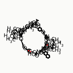 CN[C@@H](C)C(=O)N[C@H](C(=O)N1CC2CC1C(=O)N[C@@H](C)C(=O)N[C@H](C(=O)NS(=O)(=O)C1CC1)Cc1ccc(cc1)OCc1cn(nn1)C1C[C@@H](C(=O)N[C@@H](Cc3ccc4ccccc4c3)C(=O)N[C@H](C(=O)O)Cc3ccc(cc3)OC/C=C/CO2)N(C(=O)[C@@H](NC(=O)[C@H](C)NC)C(C)(C)C)C1)C(C)(C)C